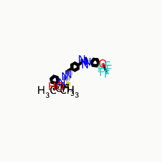 CC(C)c1ccccc1N1/C(=N/N=C/c2ccc(-c3ncn(-c4ccc(OC(F)(F)C(F)(F)F)cc4)n3)cc2)SCC1(C)O